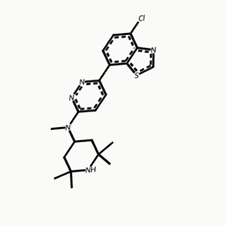 CN(c1ccc(-c2ccc(Cl)c3ncsc23)nn1)C1CC(C)(C)NC(C)(C)C1